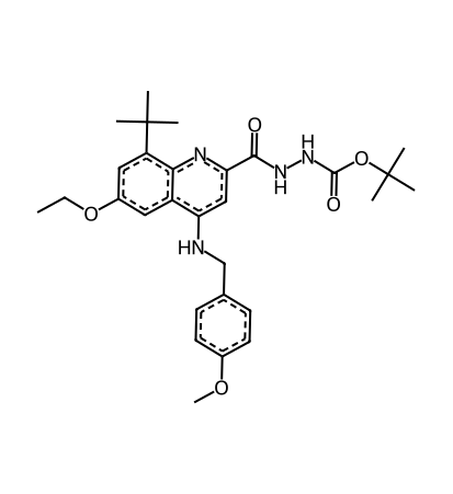 CCOc1cc(C(C)(C)C)c2nc(C(=O)NNC(=O)OC(C)(C)C)cc(NCc3ccc(OC)cc3)c2c1